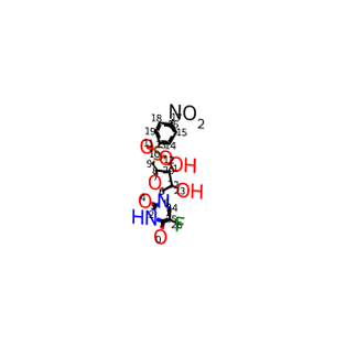 O=c1[nH]c(=O)n([C@H]2O[C@@H](CS(=O)(=O)c3ccc([N+](=O)[O-])cc3)C(O)C2O)cc1F